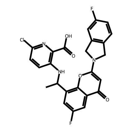 CC(Nc1ccc(Cl)nc1C(=O)O)c1cc(F)cc2c(=O)cc(N3Cc4ccc(F)cc4C3)oc12